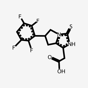 O=C(O)Cc1[nH]c(=S)n2c1CC(c1c(F)c(F)cc(F)c1F)C2